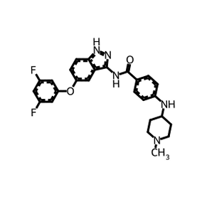 CN1CCC(Nc2ccc(C(=O)Nc3n[nH]c4ccc(Oc5cc(F)cc(F)c5)cc34)cc2)CC1